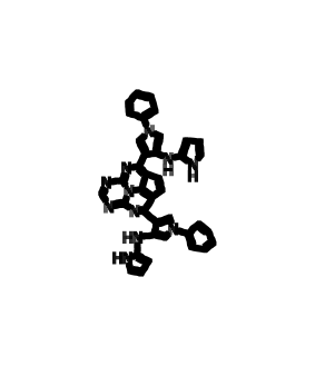 c1ccc(-n2cc(Nc3ccc[nH]3)c(-c3nc4ncnc5nc(-c6cn(-c7ccccc7)cc6Nc6ccc[nH]6)c6ccc3c6n45)c2)cc1